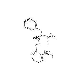 CC(O)C(Cc1ccccc1)NCCc1ccccc1N